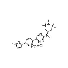 CN(c1ncc(-c2ccc(-c3ccn(C)n3)cc2O)nn1)C1CC(C)(C)NC(C)(C)C1.Cl